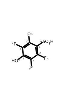 O=S(=O)(O)c1c(F)c(F)c(O)c(F)c1F